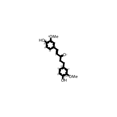 COc1cc(C=CC(=O)CCc2ccc(O)c(OC)c2)ccc1O